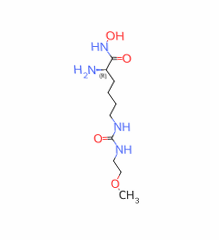 COCCNC(=O)NCCCC[C@@H](N)C(=O)NO